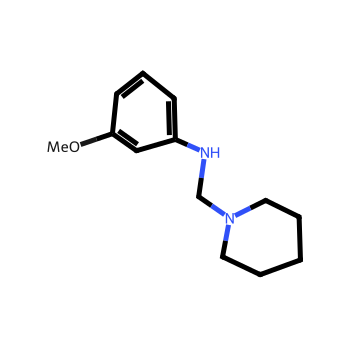 COc1cccc(NCN2CCCCC2)c1